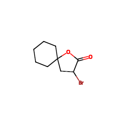 O=C1OC2(CCCCC2)CC1Br